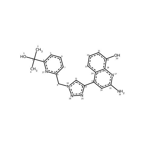 CC(C)(O)c1cccc(Cn2cc(-c3cc(N)nc4c(O)cccc34)nn2)n1